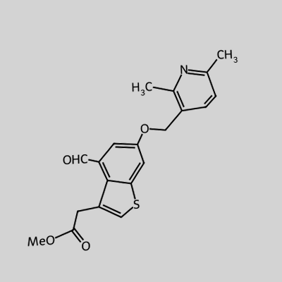 COC(=O)Cc1csc2cc(OCc3ccc(C)nc3C)cc(C=O)c12